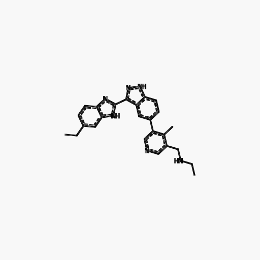 CCNCc1cncc(-c2ccc3[nH]nc(-c4nc5ccc(CC)cc5[nH]4)c3c2)c1C